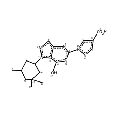 CC1CC(n2ncc3nc(-n4cc(C(=O)O)cn4)nc(O)c32)CC(C)(C)C1